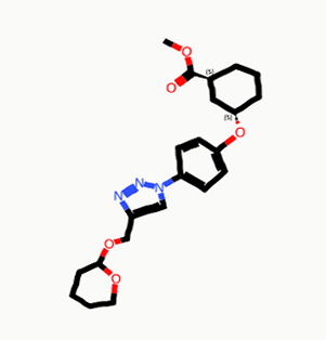 COC(=O)[C@H]1CCC[C@H](Oc2ccc(-n3cc(COC4CCCCO4)nn3)cc2)C1